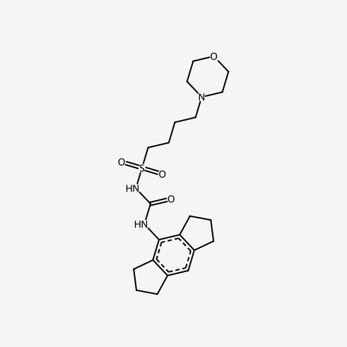 O=C(Nc1c2c(cc3c1CCC3)CCC2)NS(=O)(=O)CCCCN1CCOCC1